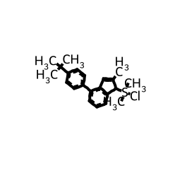 CC1=Cc2c(-c3ccc(C(C)(C)C)cc3)cccc2C1S(C)(C)Cl